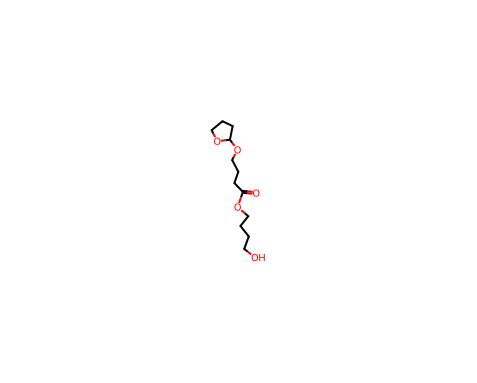 O=C(CCCOC1CCCO1)OCCCCO